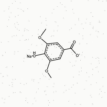 COc1cc(C(=O)[O-])cc(OC)c1O.[Na+]